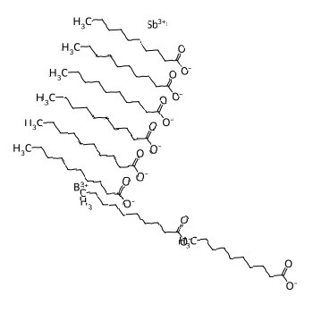 CCCCCCCCCC(=O)[O-].CCCCCCCCCC(=O)[O-].CCCCCCCCCC(=O)[O-].CCCCCCCCCC(=O)[O-].CCCCCCCCCC(=O)[O-].CCCCCCCCCC(=O)[O-].CCCCCCCCCC(=O)[O-].CCCCCCCCCC(=O)[O-].[B+3].[Sb+3]